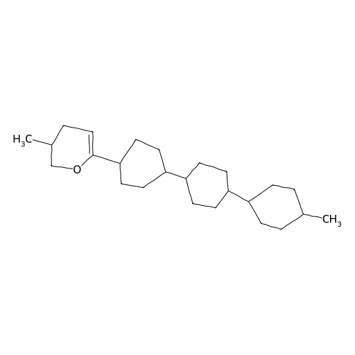 CC1CCC(C2CCC(C3CCC(C4=CCC(C)CO4)CC3)CC2)CC1